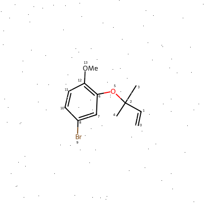 C=CC(C)(C)Oc1cc(Br)ccc1OC